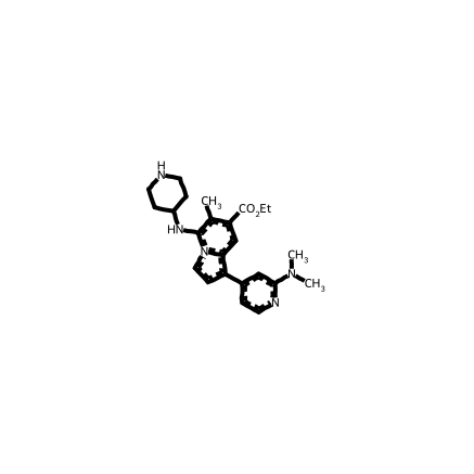 CCOC(=O)c1cc2c(-c3ccnc(N(C)C)c3)ccn2c(NC2CCNCC2)c1C